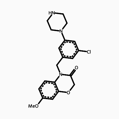 COc1ccc2c(c1)OCC(=O)N2Cc1cc(Cl)cc(N2CCNCC2)c1